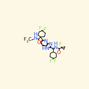 O=C(N[C@H](c1nc2nc(C3(C(=O)NCC(F)(F)F)CCC(F)(F)CC3)ccc2[nH]1)C1CCC(F)(F)CC1)C1(F)CC1